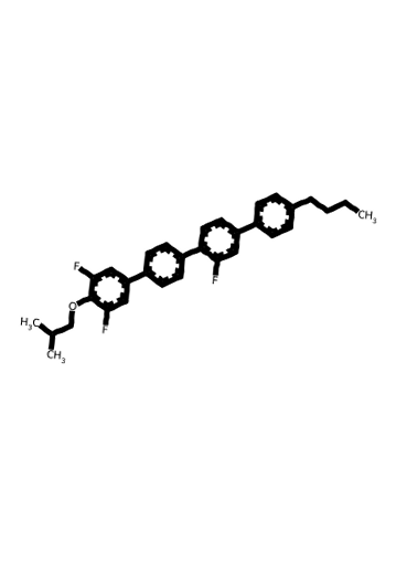 CCCCc1ccc(-c2ccc(-c3ccc(-c4cc(F)c(OCC(C)C)c(F)c4)cc3)c(F)c2)cc1